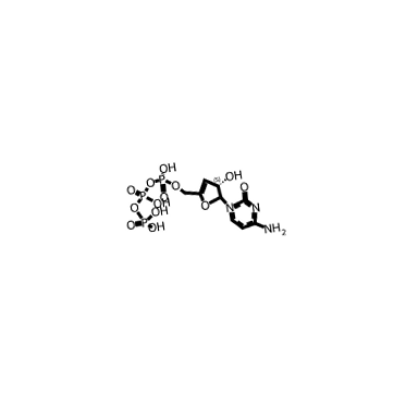 Nc1ccn(C2OC(COP(=O)(O)OP(=O)(O)OP(=O)(O)O)=C[C@@H]2O)c(=O)n1